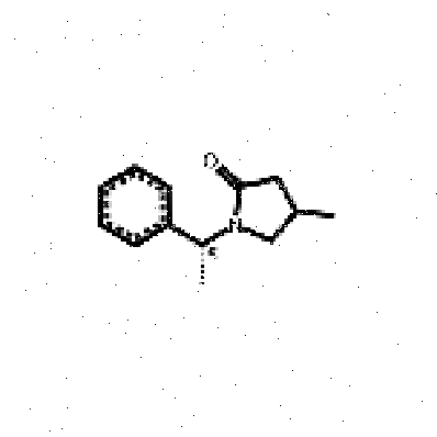 CC1CC(=O)N([C@H](C)c2ccccc2)C1